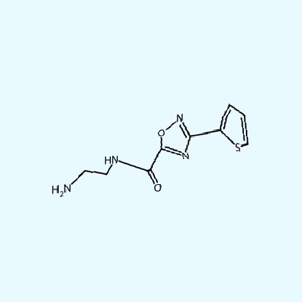 NCCNC(=O)c1nc(-c2cccs2)no1